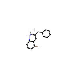 Cc1nc2cccc(Br)c2cc1Cc1ccccc1